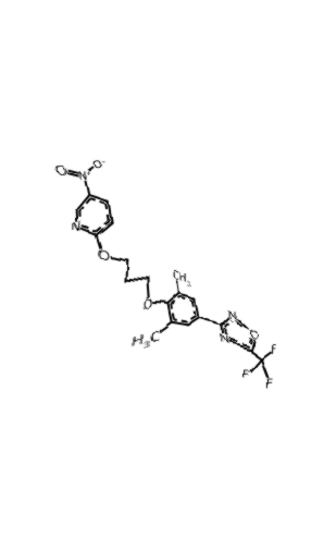 Cc1cc(-c2noc(C(F)(F)F)n2)cc(C)c1OCCCOc1ccc([N+](=O)[O-])cn1